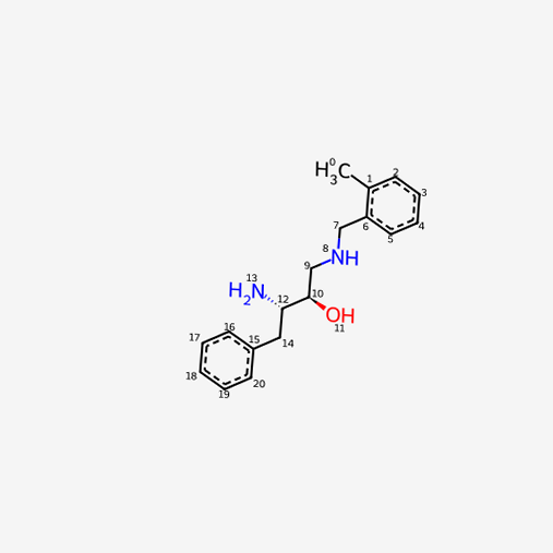 Cc1ccccc1CNC[C@@H](O)[C@@H](N)Cc1ccccc1